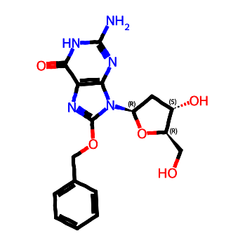 Nc1nc2c(nc(OCc3ccccc3)n2[C@H]2C[C@H](O)[C@@H](CO)O2)c(=O)[nH]1